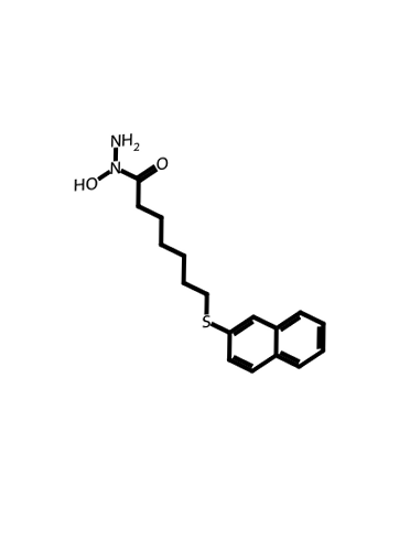 NN(O)C(=O)CCCCCCSc1ccc2ccccc2c1